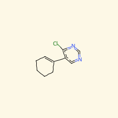 Clc1ncncc1C1=CCCCC1